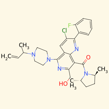 C=CC(C)N1CCN(c2nc(CO)c(C(=O)N3[C@@H](C)CC[C@@H]3C)c3nc(-c4ccccc4F)c(Cl)cc23)CC1